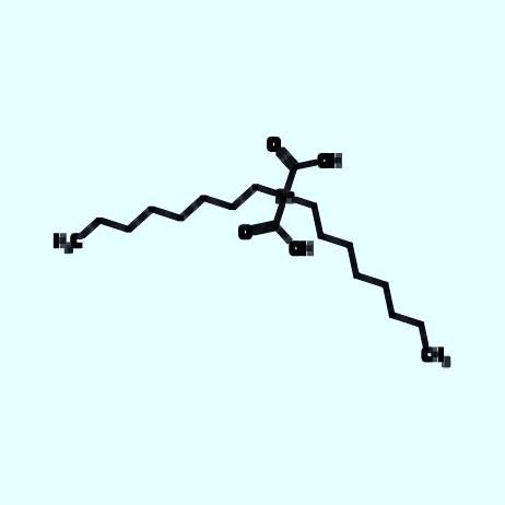 CCCCCCC[CH2][Sn]([CH2]CCCCCCC)([C](=O)O)[C](=O)O